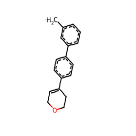 [CH2]c1cccc(-c2ccc(C3=CCOCC3)cc2)c1